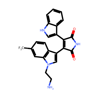 NCCn1cc(C2=C(c3c[nH]c4ccccc34)C(=O)NC2=O)c2ccc(C(F)(F)F)cc21